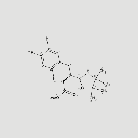 COC(=O)C[C@@H](Cc1cc(F)c(F)cc1F)B1OC(C)(C)C(C)(C)O1